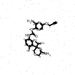 C#CCOc1cnc(OC(=O)Nc2ccc(F)c(C3(C(F)F)COCC(N)=N3)c2)c(N)n1